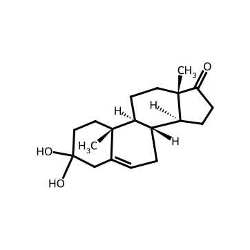 C[C@]12CCC(O)(O)CC1=CC[C@@H]1[C@@H]2CC[C@]2(C)C(=O)CC[C@@H]12